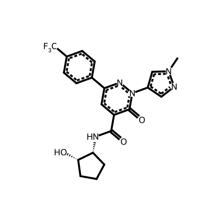 Cn1cc(-n2nc(-c3ccc(C(F)(F)F)cc3)cc(C(=O)N[C@@H]3CCC[C@@H]3O)c2=O)cn1